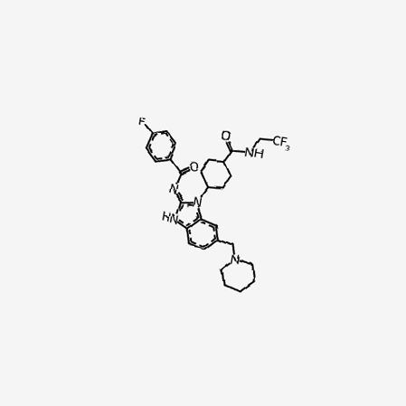 O=C(/N=c1/[nH]c2ccc(CN3CCCCC3)cc2n1C1CCC(C(=O)NCC(F)(F)F)CC1)c1ccc(F)cc1